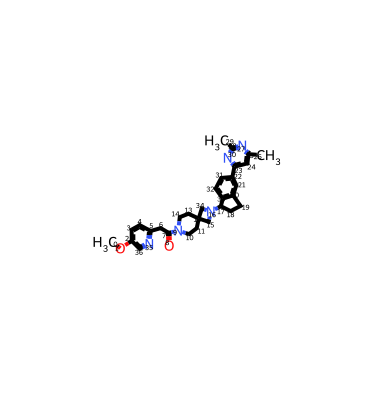 COc1ccc(CC(=O)N2CCC3(CC2)CN(C2CCc4cc(-c5cc(C)nc(C)n5)ccc42)C3)nc1